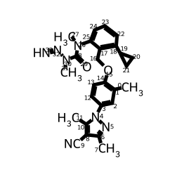 Cc1cc(-n2nc(C)c(C#N)c2C)ccc1OCc1c(C2CC2)cccc1N(C)C(=O)N(C)N=N